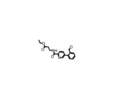 CCOC(=O)CCNC(=O)c1ccc(-c2ccccc2C=O)cn1